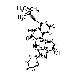 C[Si](C)(C)C#Cc1cc(Cl)cc2c(-c3ccc(Cl)c4nn(C5CCCCO5)cc34)c(N)c(=O)[nH]c12